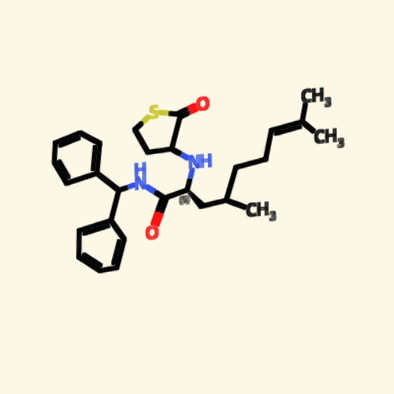 CC(C)=CCCC(C)C[C@H](NC1CCSC1=O)C(=O)NC(c1ccccc1)c1ccccc1